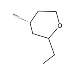 CCC1C[C@H](C)CCO1